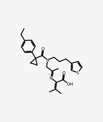 CCc1ccc(C2(C(=O)N(CCCc3ccsc3)C/C(C)=N/C(C(=O)O)=C(C)C)CC2)cc1